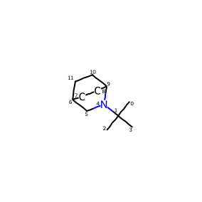 CC(C)(C)N1CC2CCC1CC2